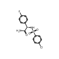 NC(=O)[C@H](NS(=O)(=O)c1ccc(Cl)cc1)c1ccc(F)cc1